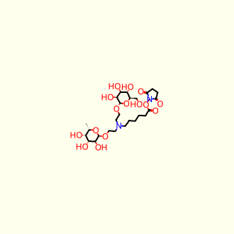 C[C@@H]1O[C@@H](OCCN(CCCCCC(=O)ON2C(=O)CCC2=O)CCO[C@H]2O[C@H](CO)[C@@H](O)[C@H](O)[C@@H]2O)[C@@H](O)[C@H](O)[C@@H]1O